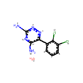 Nc1nnc(-c2cccc(Cl)c2Cl)c(N)n1.O